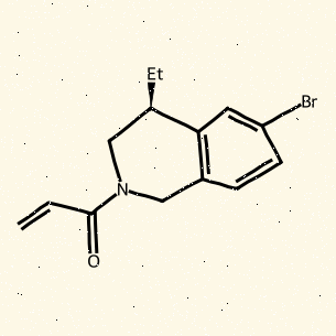 C=CC(=O)N1Cc2ccc(Br)cc2[C@H](CC)C1